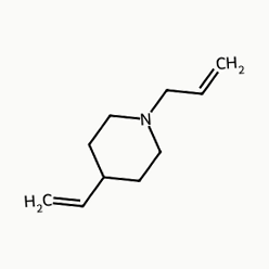 C=CCN1CCC(C=C)CC1